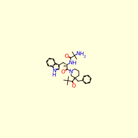 CC(C)(C)C(=O)[C@@]1(Cc2ccccc2)CCCN(C(=O)[C@@H](Cc2c[nH]c3ccccc23)NC(=O)C(C)(C)N)C1